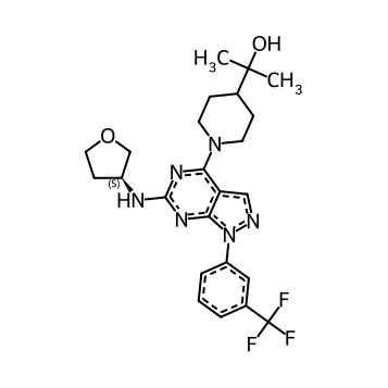 CC(C)(O)C1CCN(c2nc(N[C@H]3CCOC3)nc3c2cnn3-c2cccc(C(F)(F)F)c2)CC1